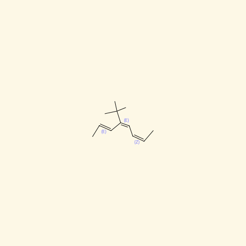 C\C=C/C=C(\C=C\C)C(C)(C)C